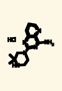 CC1(C)CN(c2nc(N)c3ncccc3n2)CCN1.Cl